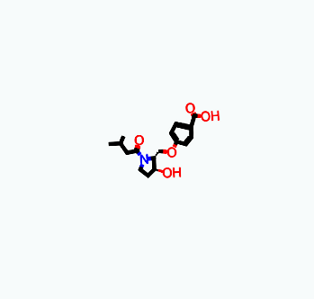 CC(C)CC(=O)N1CC[C@H](O)[C@H]1COc1ccc(C(=O)O)cc1